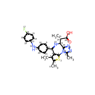 Cc1sc2c(c1C)C(c1ccc(Nc3ccc(F)cc3)cc1)=NC([C@H](C)C(=O)O)c1nnc(C)n1-2